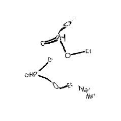 CCO[PH](=O)[O-].CCO[PH](=O)[O-].[Na+].[Na+]